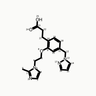 Cc1nccn1CCOc1cc(Cn2cccn2)ccc1CCC(=O)O